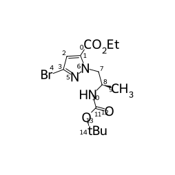 CCOC(=O)c1cc(Br)nn1C[C@@H](C)NC(=O)OC(C)(C)C